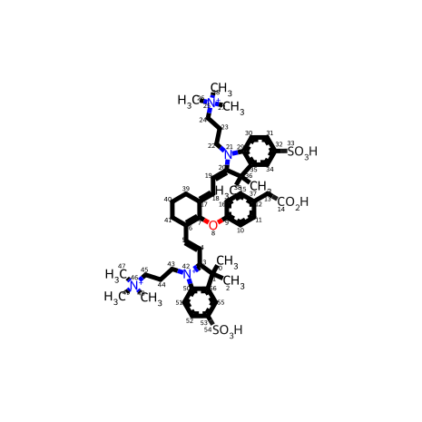 CC1(C)C(/C=C/C2=C(Oc3ccc(CC(=O)O)cc3)C(=C/C=C3/N(CCC[N+](C)(C)C)c4ccc(S(=O)(=O)O)cc4C3(C)C)/CCC2)=[N+](CCC[N+](C)(C)C)c2ccc(S(=O)(=O)O)cc21